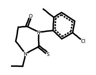 CCN1CCC(=O)N(c2cc(Cl)ccc2C)C1=S